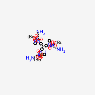 CC(C)(C)OC(=O)N([C@H](CCCCN)C(=O)Nc1ccc(C(c2ccc(NC(=O)[C@@H](CCCCN)N(C(=O)OC(C)(C)C)S(=O)(=O)c3ccccc3)cc2)c2ccc(NC(=O)[C@@H](CCCCN)N(C(=O)OC(C)(C)C)S(=O)(=O)c3ccccc3)cc2)cc1)S(=O)(=O)c1ccccc1